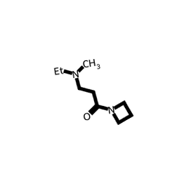 CCN(C)CCC(=O)N1CCC1